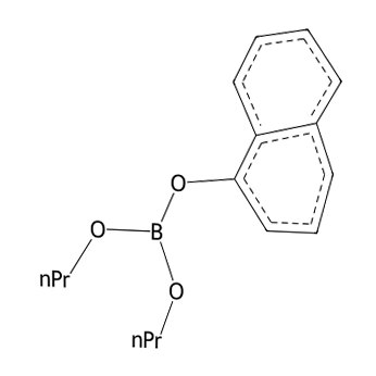 CCCOB(OCCC)Oc1cccc2ccccc12